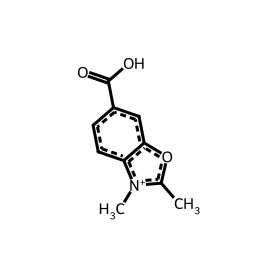 Cc1oc2cc(C(=O)O)ccc2[n+]1C